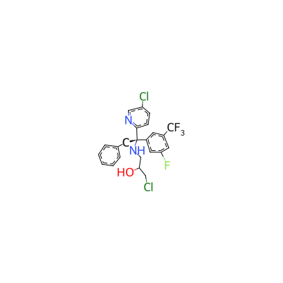 OC(CCl)CN[C@@](Cc1ccccc1)(c1cc(F)cc(C(F)(F)F)c1)c1ccc(Cl)cn1